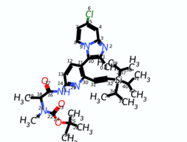 Cc1nc2cc(Cl)ccn2c1-c1ccc(NC(=O)C(C)N(C)C(=O)OC(C)(C)C)nc1C#C[Si](C(C)C)(C(C)C)C(C)C